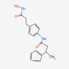 CC(CC(=O)Nc1ccc(CCC(=O)NO)cc1)c1ccccc1